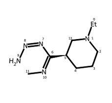 CCN1CCC[C@@H](C(/N=N\N)=N/C)C1